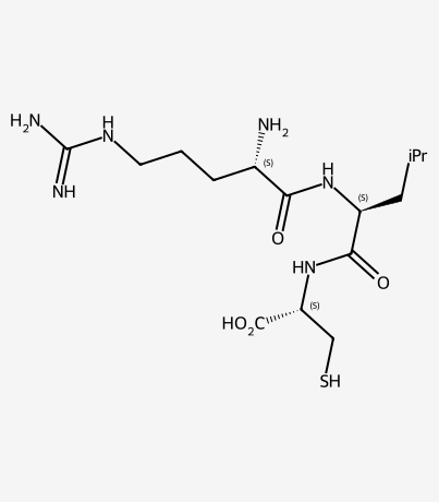 CC(C)C[C@H](NC(=O)[C@@H](N)CCCNC(=N)N)C(=O)N[C@H](CS)C(=O)O